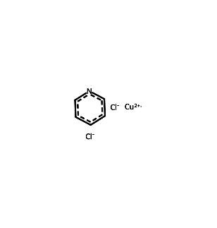 [Cl-].[Cl-].[Cu+2].c1ccncc1